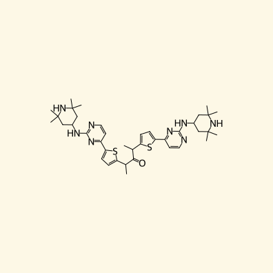 CC(C(=O)C(C)c1ccc(-c2ccnc(NC3CC(C)(C)NC(C)(C)C3)n2)s1)c1ccc(-c2ccnc(NC3CC(C)(C)NC(C)(C)C3)n2)s1